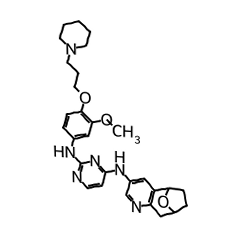 COc1cc(Nc2nccc(Nc3cnc4c(c3)C3CCC(C4)O3)n2)ccc1OCCCN1CCCCC1